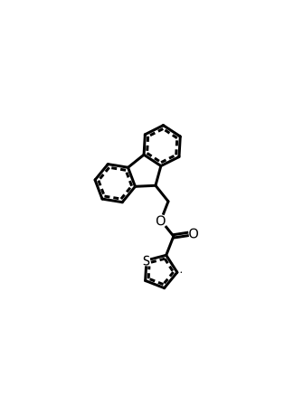 O=C(OCC1c2ccccc2-c2ccccc21)c1[c]ccs1